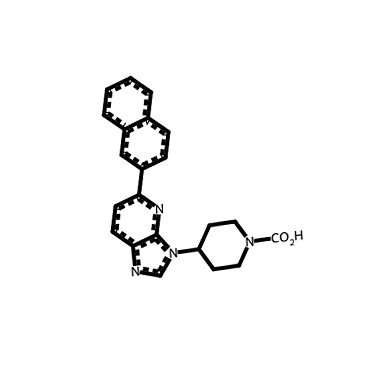 O=C(O)N1CCC(n2cnc3ccc(-c4ccc5ccccc5c4)nc32)CC1